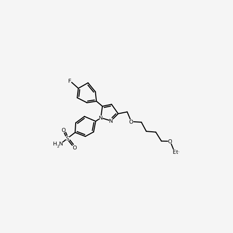 C[CH]OCCCCOCc1cc(-c2ccc(F)cc2)n(-c2ccc(S(N)(=O)=O)cc2)n1